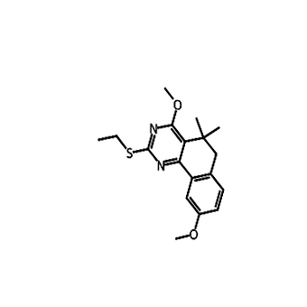 CCSc1nc(OC)c2c(n1)-c1cc(OC)ccc1CC2(C)C